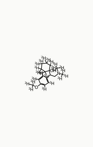 [2H]c1c([2H])c(C(CN(C([2H])([2H])[2H])C([2H])([2H])[2H])C2(O)C([2H])([2H])C([2H])([2H])C([2H])([2H])C([2H])([2H])C2([2H])[2H])c([2H])c([2H])c1OC([2H])([2H])[2H]